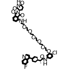 C[C@@H](C(=O)Nc1ccc(Cl)c(OCCOCCOCCOCCOCCOCCNc2cccc3c2C(=O)N(C2CCC(=O)NC2=O)C3=O)c1)[C@@H]1CC=C(c2ccnc3ccc(F)cc23)CC1